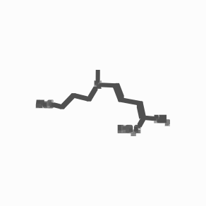 CCOC(=O)/C(N)=C\C=C\N(C)CCCSC